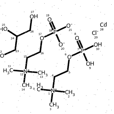 C[N+](C)(C)CCOP(=O)(O)O.C[N+](C)(C)CCOP(=O)([O-])[O-].OCC(O)CO.[Cd].[Cl-]